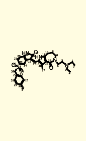 CCN(CC)CCN1CCCc2[nH]c(C=C3C(=O)Nc4ccc(S(=O)(=O)Cc5ccc(F)cc5)cc43)c(C)c2C1=O